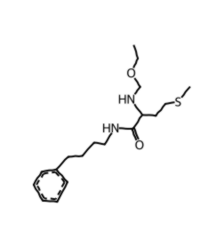 CCOCNC(CCSC)C(=O)NCCCCc1ccccc1